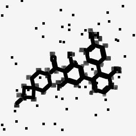 CCc1ncnc(-c2cc(F)c(C(=O)N3CCC4(CC3)CN(C)C4)c(F)c2)c1-c1ccc(N)nc1